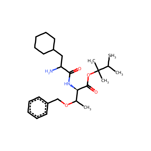 CC(OCc1ccccc1)[C@@H](NC(=O)C(N)CC1CCCCC1)C(=O)OC(C)(C)C(C)[SiH3]